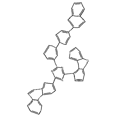 c1cc(-c2ccc(-c3ccc4ccccc4c3)cc2)cc(-c2nc(-c3ccc4c(ccc5ccccc54)c3)nc(-c3cccc4oc5ccccc5c34)n2)c1